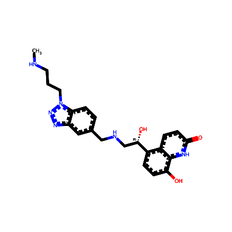 CNCCCn1nnc2cc(CNC[C@H](O)c3ccc(O)c4[nH]c(=O)ccc34)ccc21